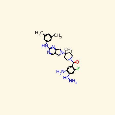 Cc1cc(C)cc(Nc2ncc3c(n2)CN(C2(C)CCN(C(=O)c4cc(N)c(NN)cc4F)CC2)C3)c1